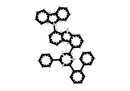 c1ccc(-c2nc(-c3ccccc3-c3ccccc3)nc(-c3cccc4oc5c(-n6c7ccccc7c7ccccc76)cccc5c34)n2)cc1